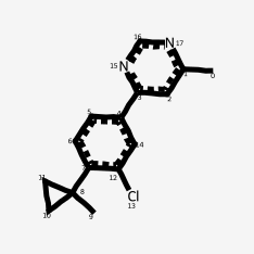 Cc1cc(-c2ccc(C3(C)CC3)c(Cl)c2)ncn1